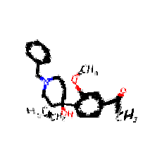 C=C.COc1cc(C(C)=O)ccc1C1(O)CCN(Cc2ccccc2)CC1